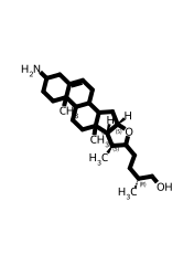 C[C@@H](CO)CCC1O[C@H]2CC3C4CC=C5CC(N)CCC5(C)C4CCC3(C)[C@H]2[C@@H]1C